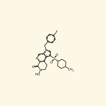 CC1CCN(S(=O)(=O)c2cn(Cc3ccc(F)cc3)c3cnc4c(c23)CCN(O)C4=O)CC1